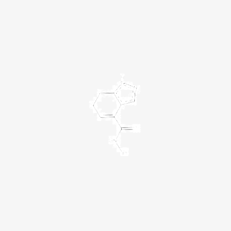 CC(C)NC(=O)C1=CCCc2[nH]ncc21